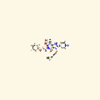 CC#CCn1c(N2CCNCC2)nc2c1c(=O)n(CCOc1ccccc1)c(=O)n2C